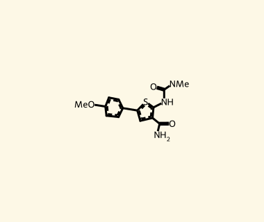 CNC(=O)Nc1sc(-c2ccc(OC)cc2)cc1C(N)=O